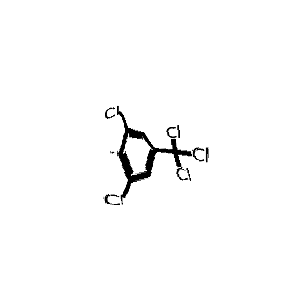 Clc1[c]c(Cl)cc(C(Cl)(Cl)Cl)c1